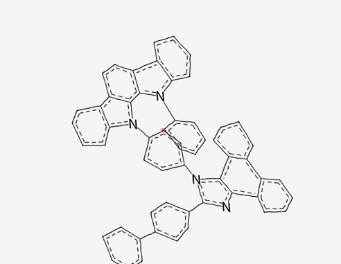 c1ccc(-c2ccc(-c3nc4c5ccccc5c5ccccc5c4n3-c3ccc(-n4c5ccccc5c5ccc6c7ccccc7n(-c7ccccc7)c6c54)cc3)cc2)cc1